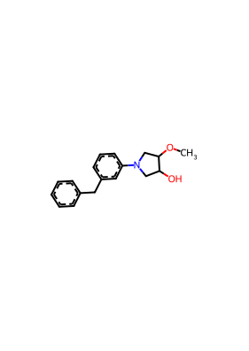 COC1CN(c2cccc(Cc3ccccc3)c2)CC1O